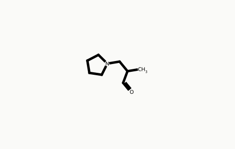 CC(C=O)CN1CCCC1